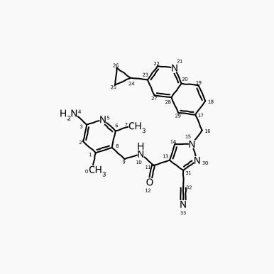 Cc1cc(N)nc(C)c1CNC(=O)c1cn(Cc2ccc3ncc(C4CC4)cc3c2)nc1C#N